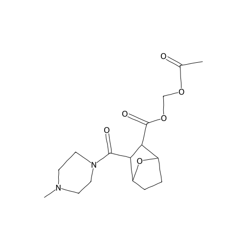 CC(=O)OCOC(=O)C1C2CCC(O2)C1C(=O)N1CCN(C)CC1